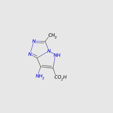 Cc1nnc2c(N)c(C(=O)O)[nH]n12